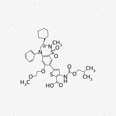 COCCOc1cc2c(cc1-c1cc(NC(=O)OCC(C)C)c(C(=O)O)s1)S(=O)(=O)N(C)[C@H](C1CCCCC1)CN2c1ccccc1